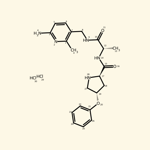 Cc1nc(N)ccc1CNC(=O)[C@H](C)NC(=O)[C@H]1C[C@H](Oc2ccccc2)CN1.Cl.Cl